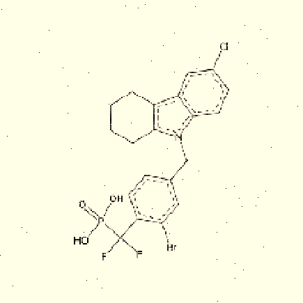 O=P(O)(O)C(F)(F)c1ccc(Cn2c3c(c4cc(Cl)ccc42)CCCC3)cc1Br